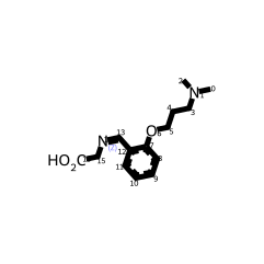 CN(C)CCCOc1ccccc1/C=N\CC(=O)O